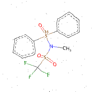 CN(S(=O)(=O)C(F)(F)F)[SH](=O)(c1ccccc1)c1ccccc1